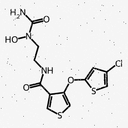 NC(=O)N(O)CCNC(=O)c1cscc1Oc1cc(Cl)cs1